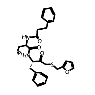 CC(C)CC(NC(=O)CCc1ccccc1)C(=O)N[C@@H](Cc1ccccc1)C(=O)CSCc1ccco1